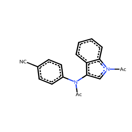 CC(=O)N(c1ccc(C#N)cc1)c1cn(C(C)=O)c2ccccc12